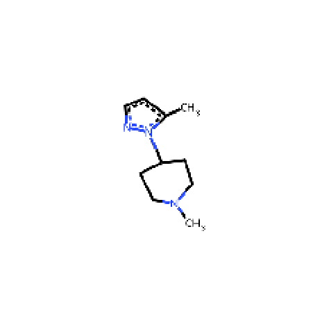 Cc1ccnn1C1CCN(C)CC1